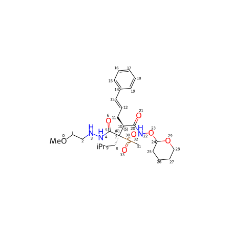 COCCNNC(=O)[C@@](CC(C)C)([C@@H](CC=Cc1ccccc1)C(=O)NOC1CCCCO1)S(C)(=O)=O